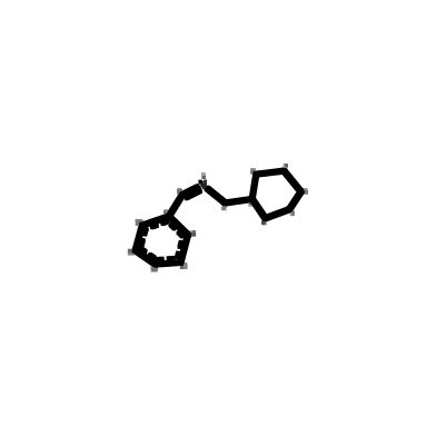 C(=N/CC1CCCCC1)/c1ccccc1